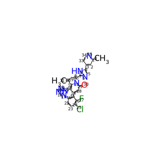 Cc1cc(-c2cnc([C@@H]3C[C@@H](C)c4cc(-c5c(-n6cnnn6)ccc(Cl)c5F)cc(=O)n43)[nH]2)ccn1